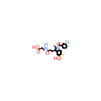 Cc1c(CCC(=O)NCCC(=O)O)c2cc(O)c(F)cc2n1C(=O)c1cccc(Cl)c1